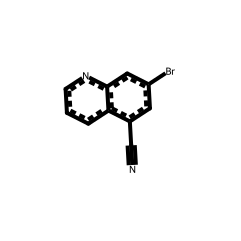 N#Cc1cc(Br)cc2ncccc12